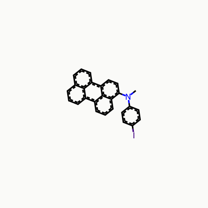 CN(c1ccc(I)cc1)c1ccc2c3cccc4cccc(c5cccc1c52)c43